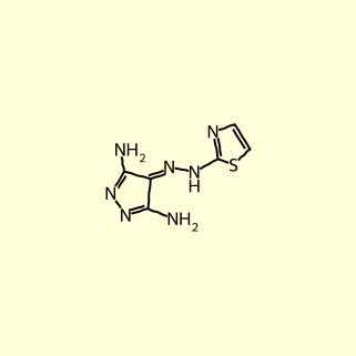 NC1=NN=C(N)C1=NNc1nccs1